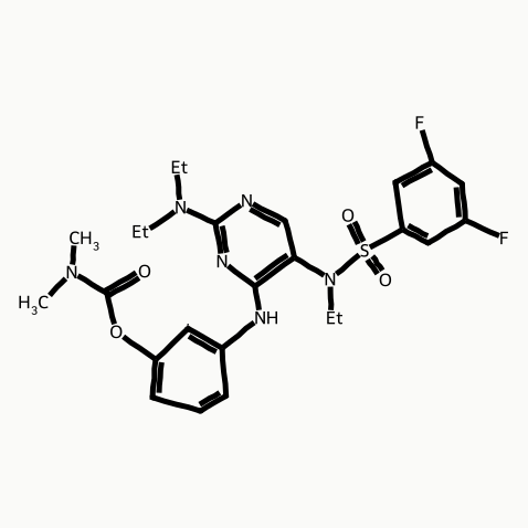 CCN(CC)c1ncc(N(CC)S(=O)(=O)c2cc(F)cc(F)c2)c(Nc2[c]c(OC(=O)N(C)C)ccc2)n1